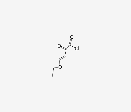 CCOC=CC(=O)C(=O)Cl